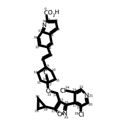 O=C(O)c1ccc2cc(C=CC34CCC(OCc5c(-c6c(Cl)cncc6Cl)noc5C5CC5)(CC3)CC4)ccc2n1